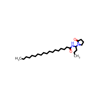 CCCCCCCCCCCCCCCCCC(=O)NC(CCC)N1CCCC1=O